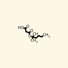 CCCCC(C)(C)OC(=O)CC(=O)O